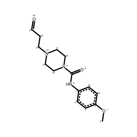 COc1ccc(NC(=O)N2CCN(CC[C]=O)CC2)cc1